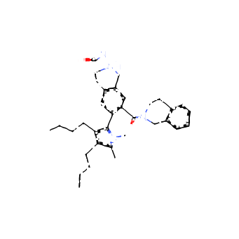 CCCCc1c(CCCC)c(-c2cc3c(cc2C(=O)N2CCc4ccccc4C2)CNCC3)n(C)c1C.NC=O